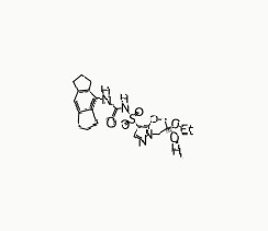 CCO[C@@]1(O)COc2c(S(=O)(=O)NC(=O)Nc3c4c(cc5c3CCC5)CCC4)cnn2C1